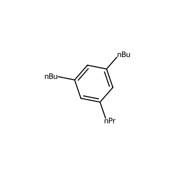 CCCCc1cc(CCC)cc(CCCC)c1